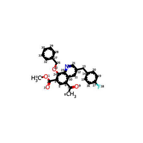 COC(=O)c1cc(C(C)=O)c2cc(Cc3ccc(F)cc3)cnc2c1OCc1ccccc1